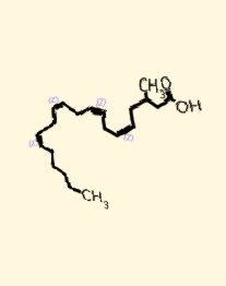 CCCCC/C=C\C/C=C\C/C=C\C/C=C\CC(C)CC(=O)O